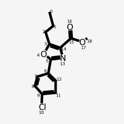 CCCc1oc(-c2ccc(Cl)cc2)nc1C(=O)OC